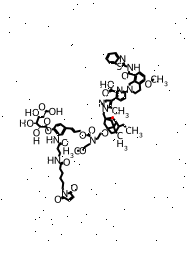 CCC1C2CC3(Cn4ncc(-c5ccc(N6CCc7c(OC)ccc(C(=O)Nc8nc9ccccc9s8)c7C6)nc5C(=O)O)c4C)CC(OCCN(CCOC)C(=O)OC/C=C/c4ccc(O[C@@H]5O[C@H](C(=O)O)[C@@H](O)[C@H](O)[C@H]5O)c(NC(=O)CCNC(=O)CCCCCN5C(=O)C=CC5=O)c4)(C2)CC1(C)C3